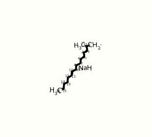 [CH2]C(C)CCCCCCCCCCCCCC.[NaH]